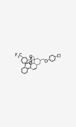 CC1(S(=O)(=O)c2cccc(C(F)(F)F)c2)CC(COc2ccc(Cl)cc2)CC2C=Cc3c(ccc4ccccc34)C21